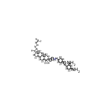 CC(C)=CCCCC(C)C1CCC2C3CC=C4C(C)(C)C(OO/C=C/c5ccc(OCc6ccc(N)cc6N)cc5)CCC4(C)C3CCC12C